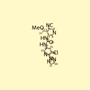 COC(C)c1c(C#N)cncc1NC(=O)Nc1cnc(-n2nccn2)c(Cl)c1